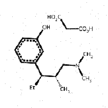 CC[C@@H](c1cccc(O)c1)[C@@H](C)CN(C)C.O=C(O)CC(=O)O